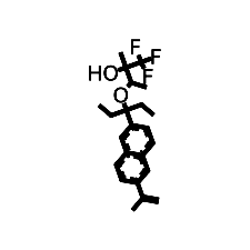 C=C(C)c1ccc2cc(C(CC)(CC)OC(C)C(C)(O)C(F)(F)F)ccc2c1